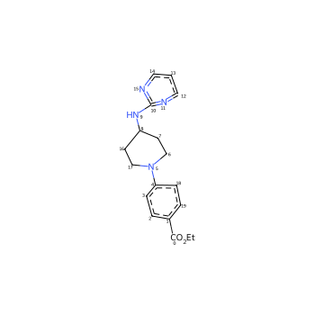 CCOC(=O)c1ccc(N2CCC(Nc3ncccn3)CC2)cc1